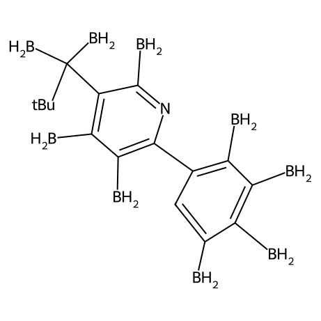 Bc1cc(-c2nc(B)c(C(B)(B)C(C)(C)C)c(B)c2B)c(B)c(B)c1B